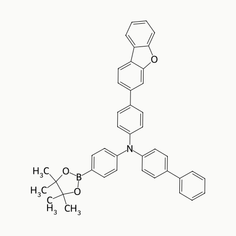 CC1(C)OB(c2ccc(N(c3ccc(-c4ccccc4)cc3)c3ccc(-c4ccc5c(c4)oc4ccccc45)cc3)cc2)OC1(C)C